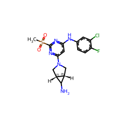 CS(=O)(=O)c1nc(Nc2ccc(F)c(Cl)c2)cc(N2C[C@@H]3C(N)[C@@H]3C2)n1